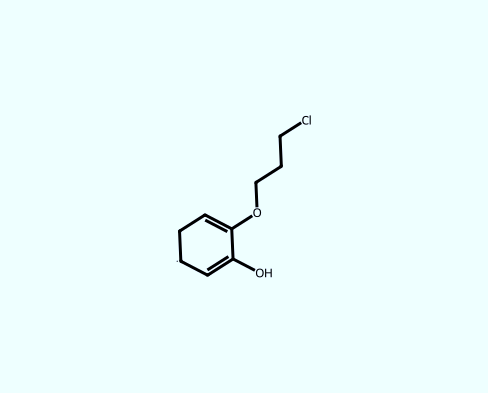 OC1=C[CH]CC=C1OCCCCl